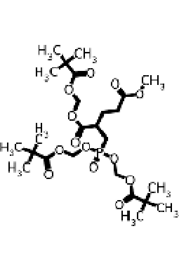 COC(=O)CCC(CP(=O)(OCOC(=O)C(C)(C)C)OCOC(=O)C(C)(C)C)C(=O)OCOC(=O)C(C)(C)C